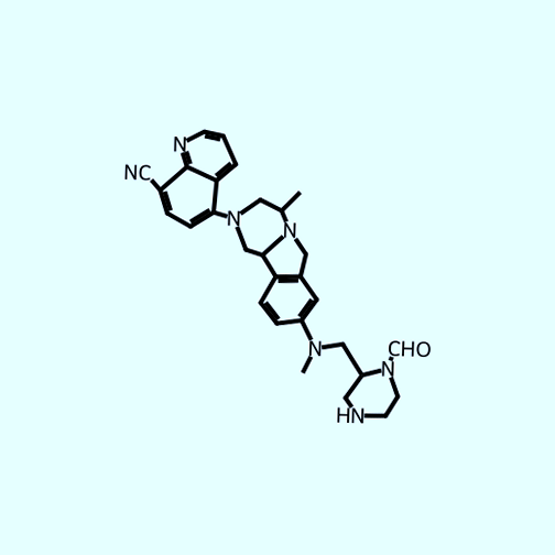 CC1CN(c2ccc(C#N)c3ncccc23)CC2c3ccc(N(C)CC4CNCCN4C=O)cc3CN12